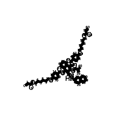 C=CC(=O)OCCCCCCOc1ccc(C(=O)Oc2c(/C=N/Nc3ccc4ccccc4c3)c(OC(=O)C(=C)C)c(OC(=O)c3ccc(OCCCCCCOC(=O)C=C)cc3)c3ccccc23)cc1